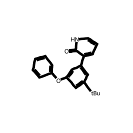 CC(C)(C)c1cc(Oc2ccccc2)cc(-c2ccc[nH]c2=O)c1